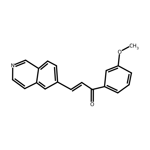 COc1cccc(C(=O)/C=C/c2ccc3cnccc3c2)c1